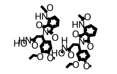 CCOc1cc(C(CC(=O)NO)N2C(=O)c3cccc(NC(C)=O)c3C2=O)ccc1OC.CCOc1cc(C(CC(=O)NO)N2C(=O)c3cccc(NC(C)=O)c3C2=O)ccc1OC